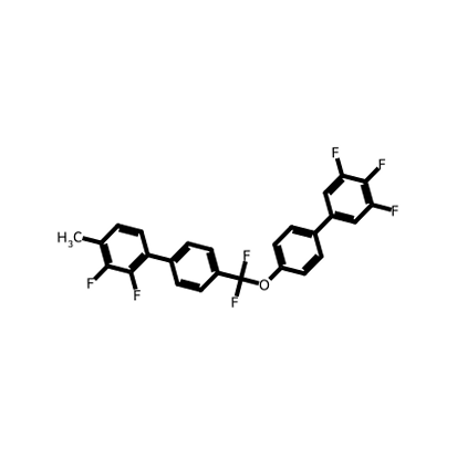 Cc1ccc(-c2ccc(C(F)(F)Oc3ccc(-c4cc(F)c(F)c(F)c4)cc3)cc2)c(F)c1F